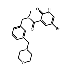 CN(Cc1cccc(CN2CCOCC2)c1)C(=O)c1cc(Br)c[nH]c1=O